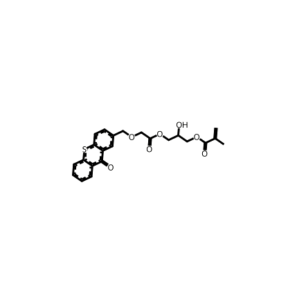 C=C(C)C(=O)OCC(O)COC(=O)COCc1ccc2sc3ccccc3c(=O)c2c1